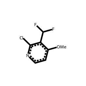 COc1ccnc(Cl)c1C(F)F